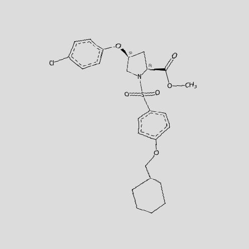 COC(=O)[C@@H]1C[C@H](Oc2ccc(Cl)cc2)CN1S(=O)(=O)c1ccc(OCC2CCCCC2)cc1